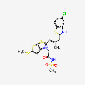 CSc1cc2c(s1)sc(C=C(C)C=C1Nc3cc(Cl)ccc3S1)[n+]2CC(=O)NS(C)(=O)=O